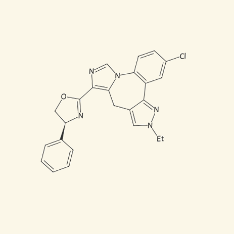 CCn1cc2c(n1)-c1cc(Cl)ccc1-n1cnc(C3=N[C@@H](c4ccccc4)CO3)c1C2